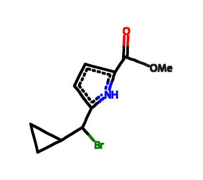 COC(=O)c1ccc(C(Br)C2CC2)[nH]1